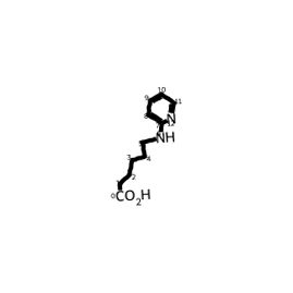 O=C(O)CCCCCNc1ccccn1